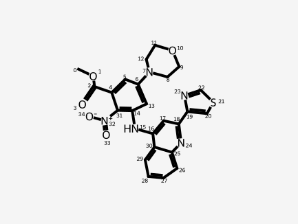 COC(=O)c1cc(N2CCOCC2)cc(Nc2cc(-c3cscn3)nc3ccccc23)c1[N+](=O)[O-]